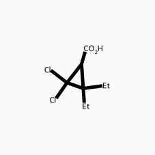 CCC1(CC)C(C(=O)O)C1(Cl)Cl